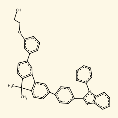 CC1(C)c2ccc(-c3ccc(-c4nc5ccccc5n4-c4ccccc4)cc3)cc2-c2cc(-c3cccc(OCCO)c3)ccc21